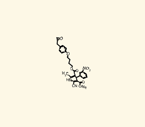 COC(=O)C1=C(C#N)NC(C)=C(C(=O)OCCCCOc2ccc(CC3CO3)cc2)C1c1cccc([N+](=O)[O-])c1